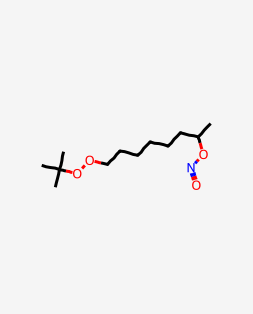 CC(CCCCCCOOC(C)(C)C)ON=O